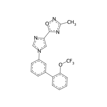 Cc1noc(-c2cn(-c3cccc(-c4ccccc4OC(F)(F)F)c3)cn2)n1